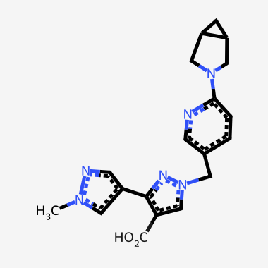 Cn1cc(-c2nn(Cc3ccc(N4CC5CC5C4)nc3)cc2C(=O)O)cn1